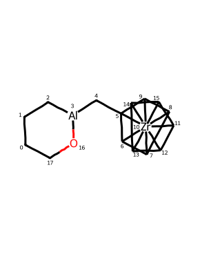 C1C[CH2][Al]([CH2][C]23[CH]4[CH]5[CH]6[CH]2[Zr]56432789[CH]3[CH]2[CH]7[CH]8[CH]39)[O]C1